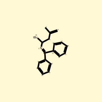 C=C(C)CC(N=C(c1ccccc1)c1ccccc1)C(C)(C)C